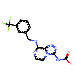 O=C(O)Nc1nnc2c(NCc3cccc(C(F)(F)F)c3)nccn12